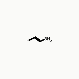 BC=C[CH2]